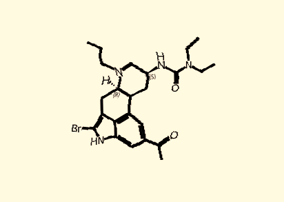 CCCN1C[C@@H](NC(=O)N(CC)CC)CC2c3cc(C(C)=O)cc4[nH]c(Br)c(c34)C[C@H]21